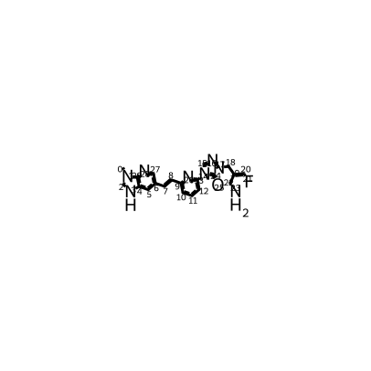 CN1CNc2cc(/C=C/c3cccc(-n4cnn(C/C(=C/F)CN)c4=O)n3)cnc21